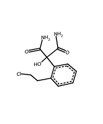 NC(=O)C(O)(C(N)=O)c1ccccc1CCCl